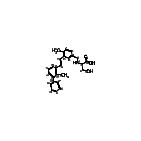 Cc1ccc(CN[C@H](CO)C(=O)O)cc1/C=C/c1cccc(-c2ccccc2)c1C